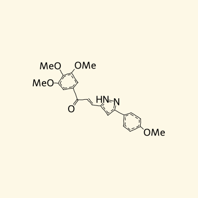 COc1ccc(-c2cc(C=CC(=O)c3cc(OC)c(OC)c(OC)c3)[nH]n2)cc1